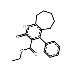 CCOC(=O)c1c(-c2ccccc2)c2c([nH]c1=O)CCCCC2